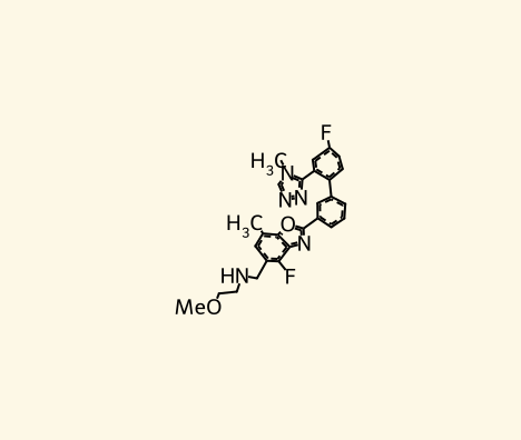 COCCNCc1cc(C)c2oc(-c3cccc(-c4ccc(F)cc4-c4nncn4C)c3)nc2c1F